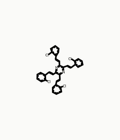 Clc1ccccc1C=Cc1nc(C=Cc2ccccc2Cl)c(C=Cc2ccccc2Cl)nc1C=Cc1ccccc1Cl